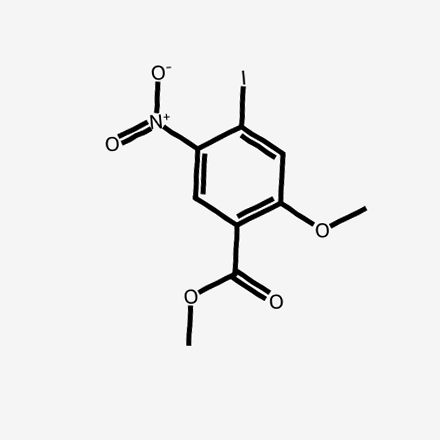 COC(=O)c1cc([N+](=O)[O-])c(I)cc1OC